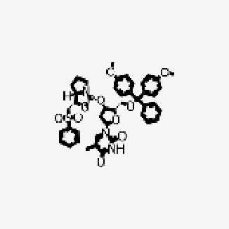 COc1ccc(C(OC[C@@H]2O[C@H](n3cc(C)c(=O)[nH]c3=O)C[C@H]2O[P@]2O[C@H](CS(=O)(=O)c3ccccc3)[C@@H]3CCCN32)(c2ccccc2)c2ccc(OC)cc2)cc1